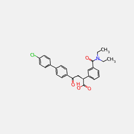 CCN(CC)C(=O)c1cccc([C@H](CC(=O)c2ccc(-c3ccc(Cl)cc3)cc2)C(=O)O)c1